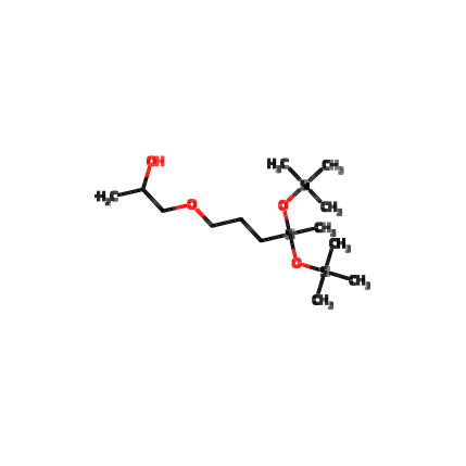 [CH2]C(O)COCCC[Si](C)(O[Si](C)(C)C)O[Si](C)(C)C